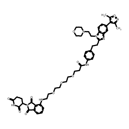 Cc1noc(C)c1-c1ccc2c(c1)nc(CCc1ccc(NC(=O)CCOCCOCCOCCNc3cccc4c3C(=O)N(C3CCC(=O)NC3=O)C4=O)cc1)n2CCN1CCOCC1